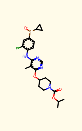 Cc1c(Nc2ccc([S+]([O-])C3CC3)cc2F)ncnc1OC1CCN(C(=O)OC(C)C)CC1